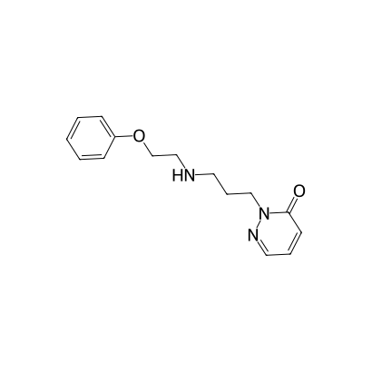 O=c1cccnn1CCCNCCOc1ccccc1